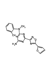 Cc1ccccc1N(C)c1nc(N)nc(-c2noc(-c3ccco3)n2)n1